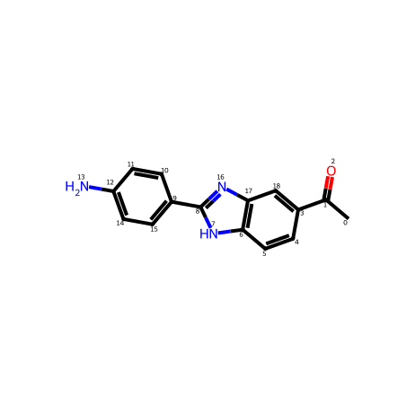 CC(=O)c1ccc2[nH]c(-c3ccc(N)cc3)nc2c1